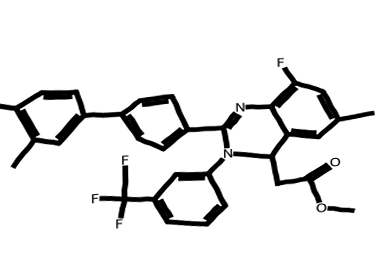 COC(=O)CC1c2cc(C)cc(F)c2N=C(c2ccc(-c3ccc(F)c(C)c3)cc2)N1c1cccc(C(F)(F)F)c1